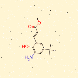 COC(=O)C=Cc1cc(C(C)(C)C)cc(N)c1O